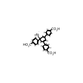 O=C(O)c1ccc(C2=C[C]([Y])(c3ccc(C(=O)O)cc3)CC(c3ccc(C(=O)O)cc3)=C2)cc1.[In]